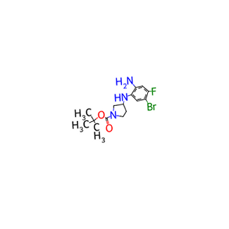 CC(C)(C)OC(=O)N1CCC(Nc2cc(Br)c(F)cc2N)C1